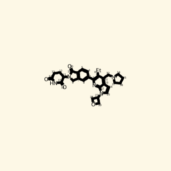 CCc1c(-c2ccc3c(c2)CN(C2CCC(=O)NC2=O)C3=O)nc2c(ccn2C2COC2)c1CN1CCCC1